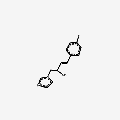 OC(C=Cc1ccc(F)cc1)Cn1ccnc1